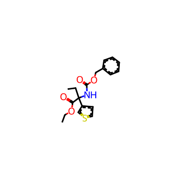 CCOC(=O)C(CC)(NC(=O)OCc1ccccc1)c1ccsc1